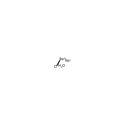 O.[Cl][Ba+2].[Na+]